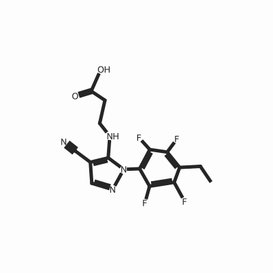 CCc1c(F)c(F)c(-n2ncc(C#N)c2NCCC(=O)O)c(F)c1F